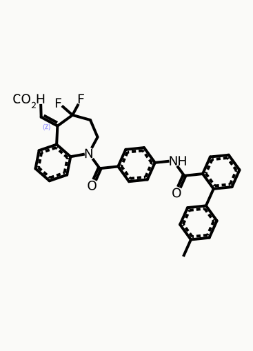 Cc1ccc(-c2ccccc2C(=O)Nc2ccc(C(=O)N3CCC(F)(F)/C(=C\C(=O)O)c4ccccc43)cc2)cc1